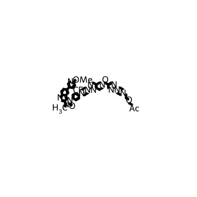 COc1ccc(-c2ccc3ncc4c(c3c2)n(-c2ccc(N3CCN(c5ncc6c(n5)CCN(C(=O)c5cnc(N7CCN(CCOCCC(C)=O)CC7)nc5)C6)CC3)c(C(F)(F)F)c2)c(=O)n4C)cn1